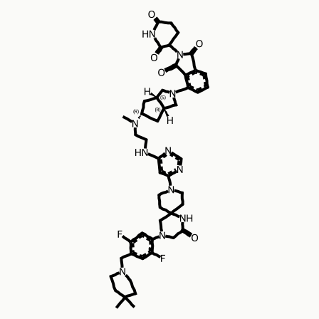 CN(CCNc1cc(N2CCC3(CC2)CN(c2cc(F)c(CN4CCC(C)(C)CC4)cc2F)CC(=O)N3)ncn1)[C@@H]1C[C@@H]2CN(c3cccc4c3C(=O)N(C3CCC(=O)NC3=O)C4=O)C[C@@H]2C1